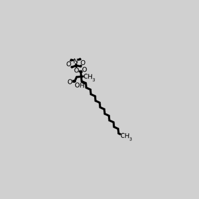 CCCCCCCCCCCCCCCCC=CC(C)(CC(=O)O)C(=O)OC12COCN1COC2